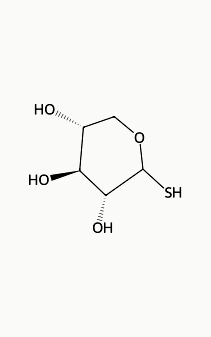 O[C@H]1[C@H](O)COC(S)[C@@H]1O